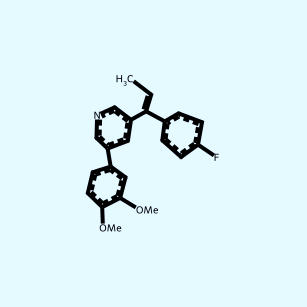 C/C=C(/c1ccc(F)cc1)c1cncc(-c2ccc(OC)c(OC)c2)c1